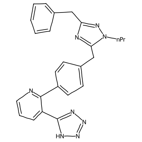 CCCn1nc(Cc2ccccc2)nc1Cc1ccc(-c2ncccc2-c2nnn[nH]2)cc1